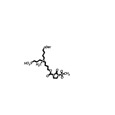 CCCCCCCCCCCCCC[N+](C)(CCCCOC(=O)N1CCN(S(C)(=O)=O)C1=O)CCCS(=O)(=O)O